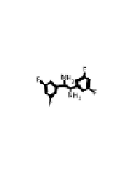 NC(c1cc(F)cc(F)c1)C(N)c1cc(F)cc(F)c1